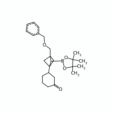 CC1(C)OB(C2C3(COCc4ccccc4)CC2(C2CCCC(=O)C2)C3)OC1(C)C